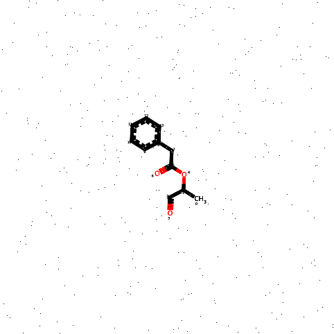 CC([C]=O)OC(=O)Cc1ccccc1